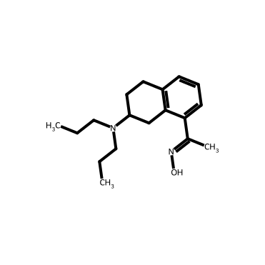 CCCN(CCC)C1CCc2cccc(C(C)=NO)c2C1